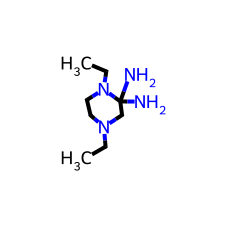 CCN1CCN(CC)C(N)(N)C1